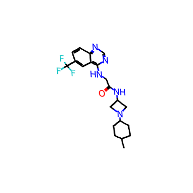 CC1CCC(N2CC(NC(=O)CNc3ncnc4ccc(C(F)(F)F)cc34)C2)CC1